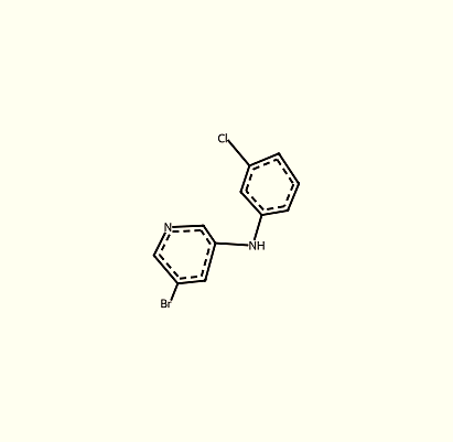 Clc1cccc(Nc2cncc(Br)c2)c1